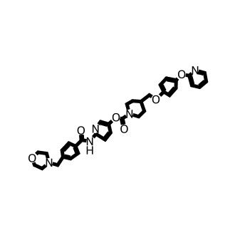 O=C(Nc1ccc(OC(=O)N2CCC(COc3ccc(Oc4ccccn4)cc3)CC2)cn1)c1ccc(CN2CCOCC2)cc1